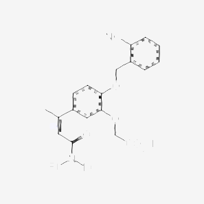 CCN(CC)C(=O)/C=C(/C)c1ccc(OCc2ccccc2C#N)c(OCC(=O)O)c1